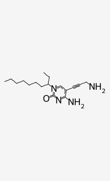 CCCCCCCC(CC)n1cc(C#CCN)c(N)nc1=O